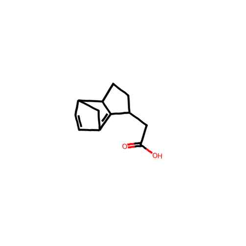 O=C(O)CC1CCC2C1=C1C=CC2C1